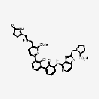 COc1nc(-c2cccc(-c3cccc(Nc4nccc5sc(CN6CCCC6C(=O)O)nc45)c3Cl)c2Cl)ccc1CNC[C@H]1CCC(=O)N1